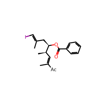 CC(=O)/C(C)=C/[C@@H](C)[C@@H](C/C(C)=C/I)OC(=O)c1ccccc1